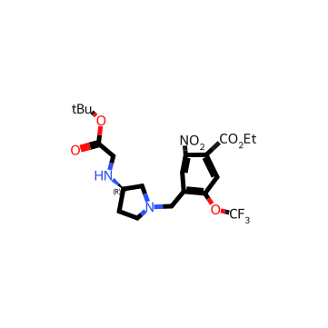 CCOC(=O)c1cc(OC(F)(F)F)c(CN2CC[C@@H](NCC(=O)OC(C)(C)C)C2)cc1[N+](=O)[O-]